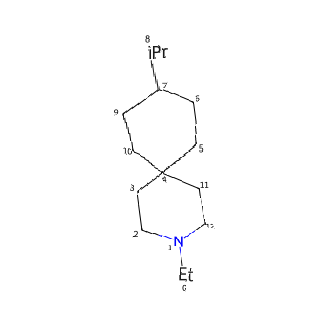 CCN1CCC2(CCC(C(C)C)CC2)CC1